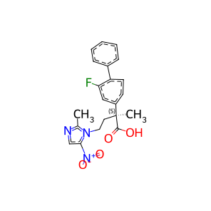 Cc1ncc([N+](=O)[O-])n1CC[C@](C)(C(=O)O)c1ccc(-c2ccccc2)c(F)c1